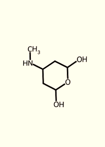 CNC1CC(O)OC(O)C1